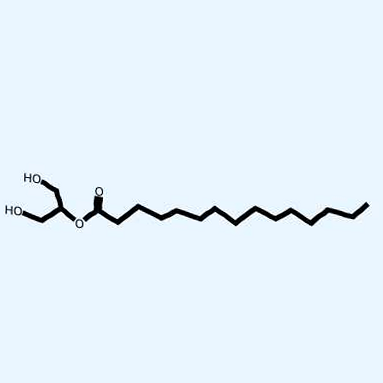 CCCCCCCCCCCCCCC(=O)OC(CO)CO